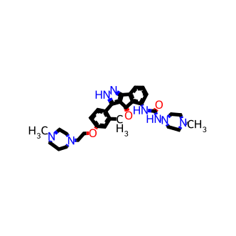 Cc1cc(OCCN2CCCN(C)CC2)ccc1-c1[nH]nc2c1C(=O)c1c(NC(=O)NN3CCN(C)CC3)cccc1-2